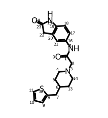 O=C(CN1CCC(Cc2cccs2)CC1)Nc1ccc2c(c1)CC(=O)N2